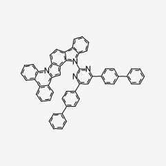 c1ccc(-c2ccc(-c3cc(-c4ccc(-c5ccccc5)cc4)nc(-n4c5ccccc5c5ccc6c(cc7c8ccccc8c8ccccc8n76)c54)n3)cc2)cc1